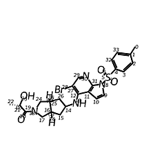 Cc1ccc(S(=O)(=O)n2ccc3c(NC4C[C@@H]5CN(C(=O)[C@H](C)O)C[C@@H]5C4)c(Br)cnc32)cc1